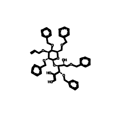 C=CCO[C@H]1[C@@H](OCc2ccccc2)[C@@H](COCc2ccccc2)O[C@@H](O[C@H]([C@H](O)COCc2ccccc2)[C@H](OCc2ccccc2)/C(O)=C/O)[C@@H]1OCc1ccccc1